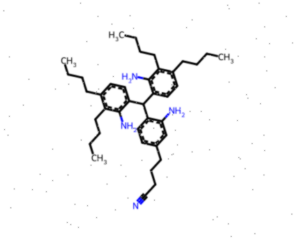 CCCCc1ccc(C(c2ccc(CCCC#N)cc2N)c2ccc(CCCC)c(CCCC)c2N)c(N)c1CCCC